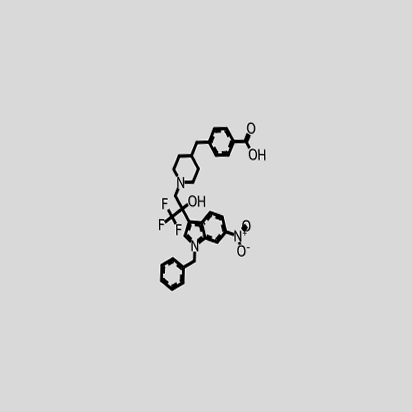 O=C(O)c1ccc(CC2CCN(CC(O)(c3cn(Cc4ccccc4)c4cc([N+](=O)[O-])ccc34)C(F)(F)F)CC2)cc1